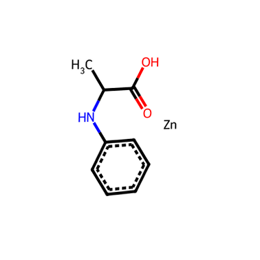 CC(Nc1ccccc1)C(=O)O.[Zn]